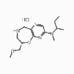 CCC(C)N(C)c1cnc2c(n1)O[C@@H](COC)CNC2.Cl